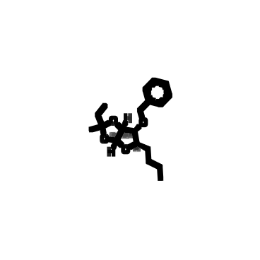 CCCC[C@H]1O[C@@H]2OC(C)(CC)O[C@@H]2[C@H]1OCc1ccccc1